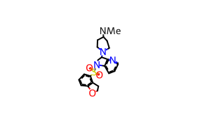 CNC1CCN(C2CN(S(=O)(=O)c3cccc4c3CCO4)c3cccnc32)CC1